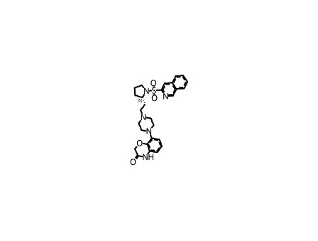 O=C1COc2c(cccc2N2CCN(CC[C@@H]3CCCN3S(=O)(=O)c3cc4ccccc4cn3)CC2)N1